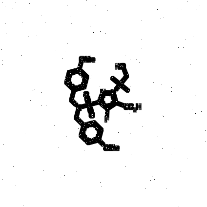 COc1ccc(CN(Cc2ccc(OC)cc2)S(=O)(=O)c2nn(C(C)(C)CO)c(C(=O)O)c2F)cc1